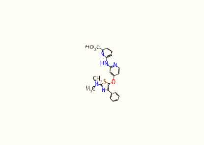 CN(C)c1nc(-c2ccccc2)c(Oc2ccnc(Nc3cccc(C(=O)O)n3)c2)s1